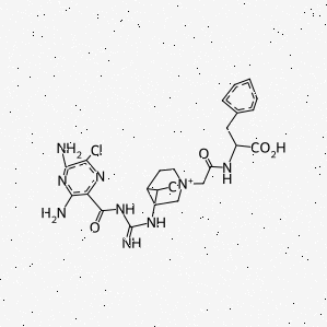 N=C(NC(=O)c1nc(Cl)c(N)nc1N)NC1C[N+]2(CC(=O)NC(Cc3ccccc3)C(=O)O)CCC1CC2